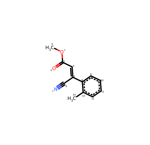 COC(=O)C=C(C#N)c1ccccc1C